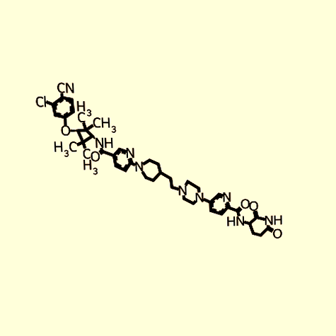 CC1(C)[C@H](NC(=O)c2ccc(N3CCC(CCN4CCN(c5ccc(C(=O)NC6CCC(=O)NC6=O)nc5)CC4)CC3)nc2)C(C)(C)[C@H]1Oc1ccc(C#N)c(Cl)c1